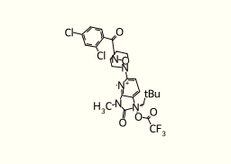 CN1C(=O)[N+](CC(C)(C)C)(OC(=O)C(F)(F)F)C2=CC=C(N3CC4CCC3CN4C(=O)c3ccc(Cl)cc3Cl)[N+]=C21